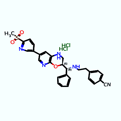 CS(=O)(=O)c1ccc(-c2cnc3c(c2)NC[C@@H]([C@H](NCCc2ccc(C#N)cc2)c2ccccc2)O3)cn1.Cl.Cl